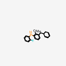 COc1c(CC2C=CC=CC2)cccc1Pc1ccccc1F